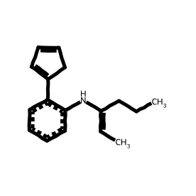 CC=C(CCC)Nc1ccccc1C1=CC=CC1